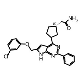 NC(=O)C[C@H]1CCC(c2nc(-c3ccccc3)nc3[nH]c(COc4cccc(Cl)c4)cc23)C1